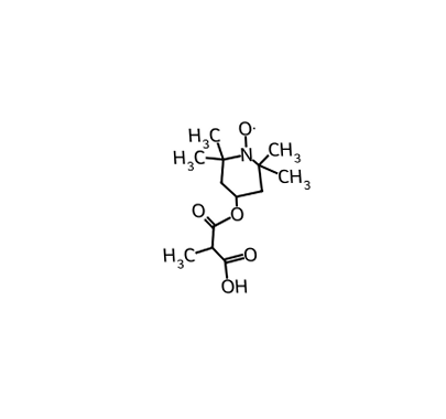 CC(C(=O)O)C(=O)OC1CC(C)(C)N([O])C(C)(C)C1